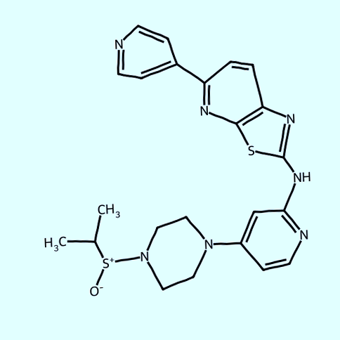 CC(C)[S+]([O-])N1CCN(c2ccnc(Nc3nc4ccc(-c5ccncc5)nc4s3)c2)CC1